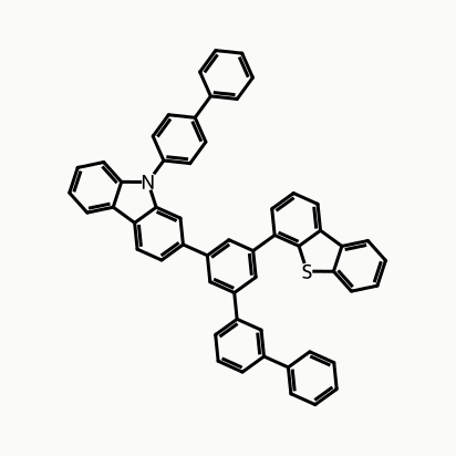 c1ccc(-c2ccc(-n3c4ccccc4c4ccc(-c5cc(-c6cccc(-c7ccccc7)c6)cc(-c6cccc7c6sc6ccccc67)c5)cc43)cc2)cc1